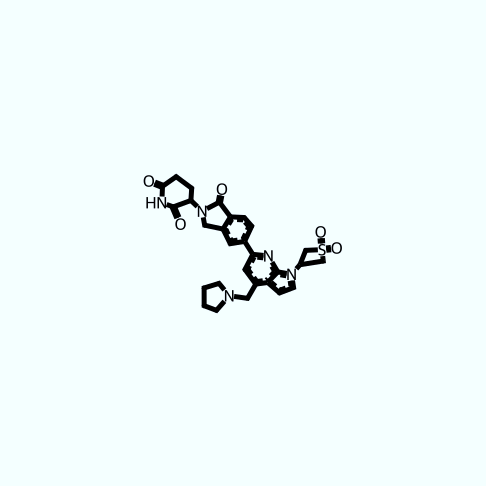 O=C1CCC(N2Cc3cc(-c4cc(CN5CCCC5)c5ccn(C6CS(=O)(=O)C6)c5n4)ccc3C2=O)C(=O)N1